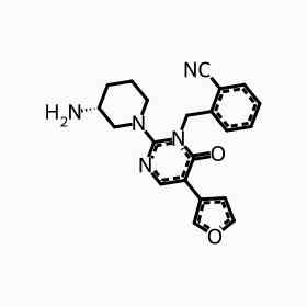 N#Cc1ccccc1Cn1c(N2CCC[C@@H](N)C2)ncc(-c2ccoc2)c1=O